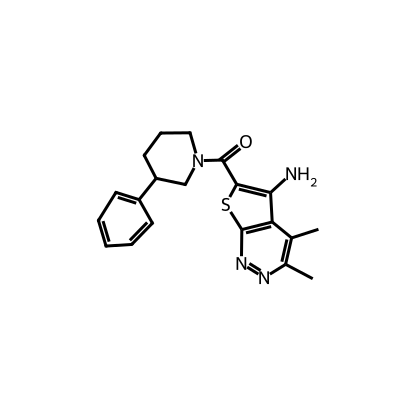 Cc1nnc2sc(C(=O)N3CCCC(c4ccccc4)C3)c(N)c2c1C